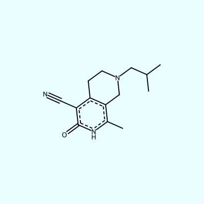 Cc1[nH]c(=O)c(C#N)c2c1CN(CC(C)C)CC2